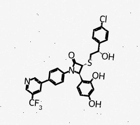 O=C1[C@H](SC[C@@H](O)c2ccc(Cl)cc2)[C@@H](c2ccc(O)cc2O)N1c1ccc(-c2cncc(C(F)(F)F)c2)cc1